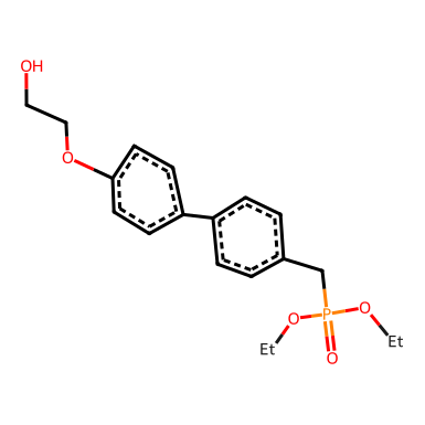 CCOP(=O)(Cc1ccc(-c2ccc(OCCO)cc2)cc1)OCC